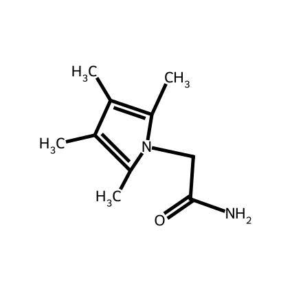 Cc1c(C)c(C)n(CC(N)=O)c1C